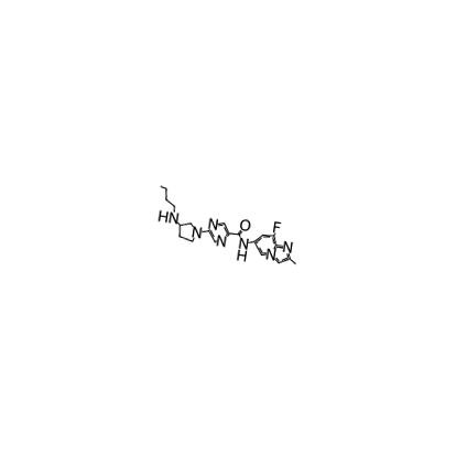 CCCCNC1CCN(c2cnc(C(=O)Nc3cc(F)c4nc(C)cn4c3)cn2)C1